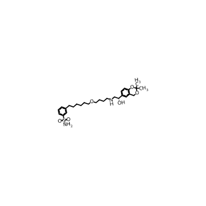 CC1(C)OCc2cc([C@H](O)CNCCCCOCCCCCCc3cccc(S(N)(=O)=O)c3)ccc2O1